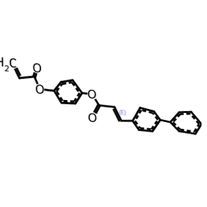 C=CC(=O)Oc1ccc(OC(=O)/C=C/c2ccc(-c3ccccc3)cc2)cc1